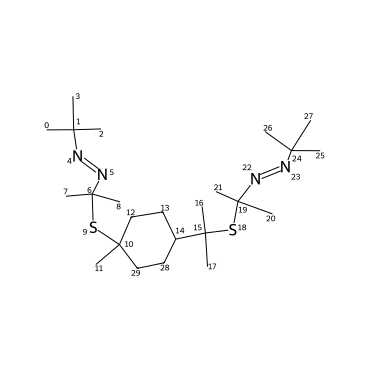 CC(C)(C)/N=N/C(C)(C)SC1(C)CCC(C(C)(C)SC(C)(C)/N=N/C(C)(C)C)CC1